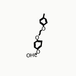 Cc1ccc(OCCOc2ccc(OC=O)cc2)cc1